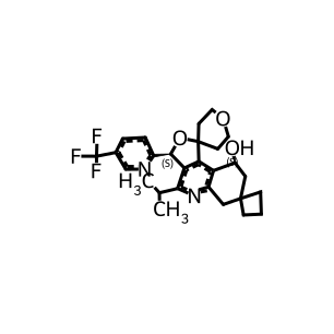 CC(C)c1nc2c(c3c1[C@@H](c1ccc(C(F)(F)F)cn1)OC31CCOCC1)[C@@H](O)CC1(CCC1)C2